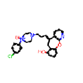 [O-][N+]1(c2ccc(Cl)cc2)CCN(CCC=C2Cc3c(O)cccc3Oc3ncccc32)CC1